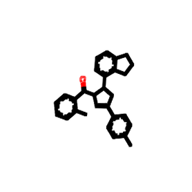 Cc1ccc(C2=CC(C(=O)c3ccccc3C)C(c3cccc4c3CCC4)C2)cc1